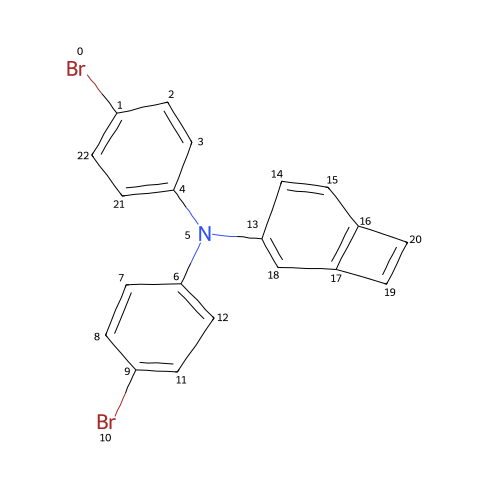 Brc1ccc(N(c2ccc(Br)cc2)c2ccc3c(c2)C=C3)cc1